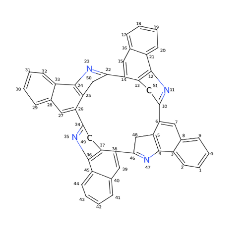 c1ccc2c3c4c(cc2c1)C1=Nc2c(c(cc5ccccc25)C2=Nc5c(c(cc6ccccc56)C5=Nc6c(c(cc7ccccc67)C(=N3)C4)C5)C2)C1